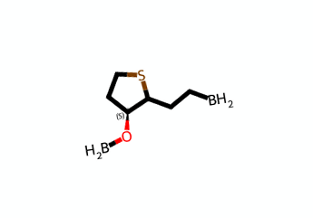 BCCC1SCC[C@@H]1OB